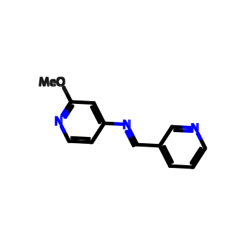 COc1cc(N=Cc2cccnc2)ccn1